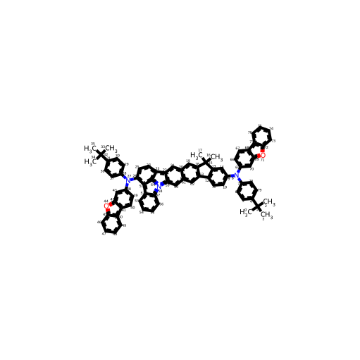 CC(C)(C)c1ccc(N(c2ccc3c(c2)C(C)(C)c2cc4cc5c6ccc(N(c7ccc(C(C)(C)C)cc7)c7ccc8c(c7)oc7ccccc78)c7c8ccccc8n(c5cc4cc2-3)c67)c2ccc3c(c2)oc2ccccc23)cc1